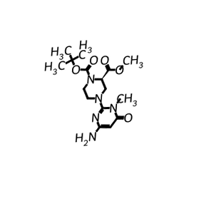 COC(=O)[C@H]1CN(c2nc(N)cc(=O)n2C)CCN1C(=O)OC(C)(C)C